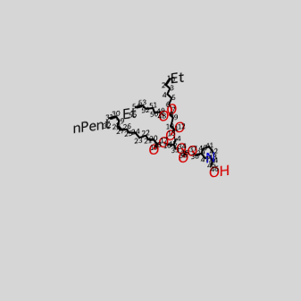 CC/C=C\CCCCOC(CCC(=O)OCC(COC(=O)CCCCCCC/C=C\C/C=C\CCCCC)COC(=O)OCC1CCCN(CCO)C1)OCCCC/C=C\CC